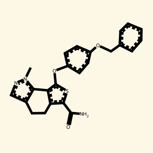 Cn1ncc2c1-c1c(Oc3ccc(OCc4ccccc4)cc3)sc(C(N)=O)c1CC2